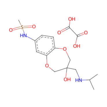 CC(C)NCC1(O)COc2ccc(NS(C)(=O)=O)cc2OC1.O=C(O)C(=O)O